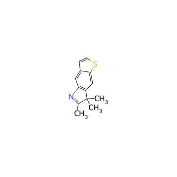 CC1=Nc2cc3ccsc3cc2C1(C)C